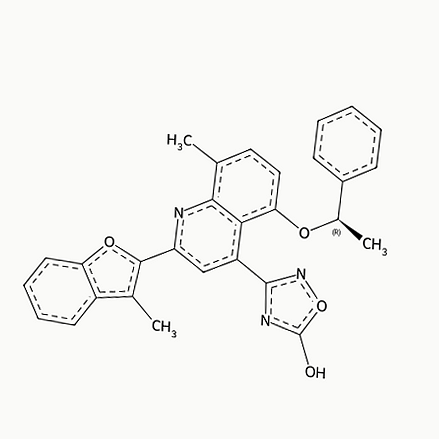 Cc1c(-c2cc(-c3noc(O)n3)c3c(O[C@H](C)c4ccccc4)ccc(C)c3n2)oc2ccccc12